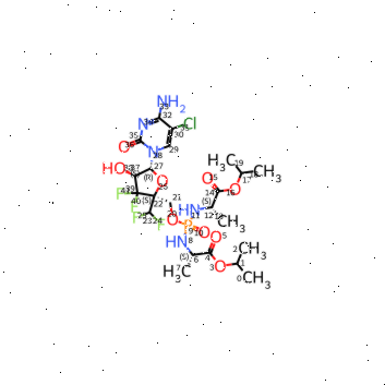 CC(C)OC(=O)[C@H](C)NP(=O)(N[C@@H](C)C(=O)OC(C)C)OC[C@@]1(C(F)F)O[C@@H](n2cc(Cl)c(N)nc2=O)[C@H](O)C1(F)F